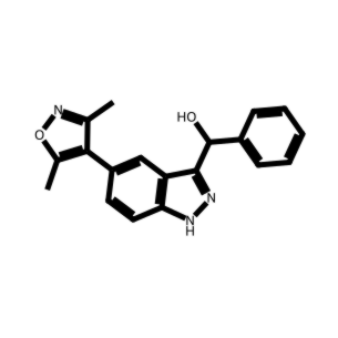 Cc1noc(C)c1-c1ccc2[nH]nc(C(O)c3ccccc3)c2c1